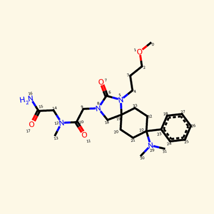 COCCCN1C(=O)N(CC(=O)N(C)CC(N)=O)CC12CCC(c1ccccc1)(N(C)C)CC2